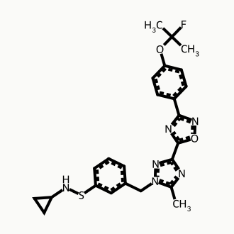 Cc1nc(-c2nc(-c3ccc(OC(C)(C)F)cc3)no2)nn1Cc1cccc(SNC2CC2)c1